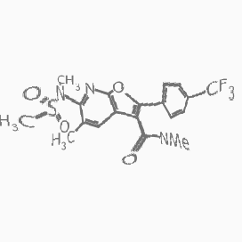 CNC(=O)c1c(-c2ccc(C(F)(F)F)cc2)oc2nc(N(C)S(C)(=O)=O)c(C)cc12